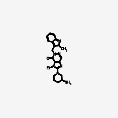 CCn1c(N2CCCC(N)C2)nc2cnn(Cc3c4ccccc4nn3C)c(=O)c21